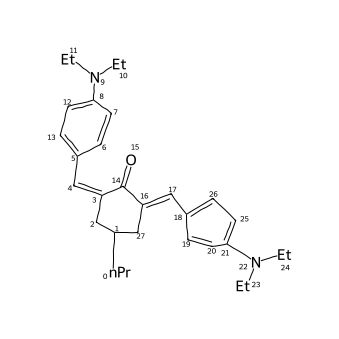 CCCC1CC(=Cc2ccc(N(CC)CC)cc2)C(=O)C(=Cc2ccc(N(CC)CC)cc2)C1